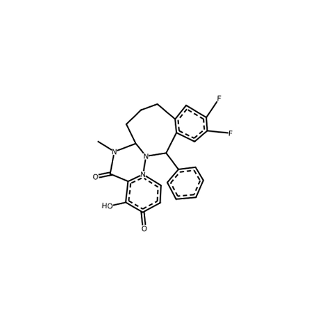 CN1C(=O)c2c(O)c(=O)ccn2N2C(c3ccccc3)c3cc(F)c(F)cc3CCCC12